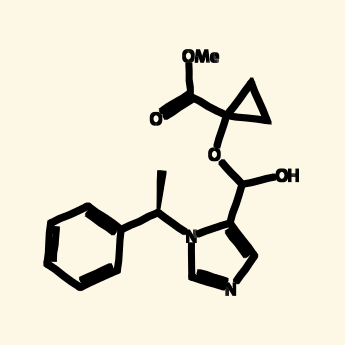 COC(=O)C1(OC(O)c2cncn2[C@H](C)c2ccccc2)CC1